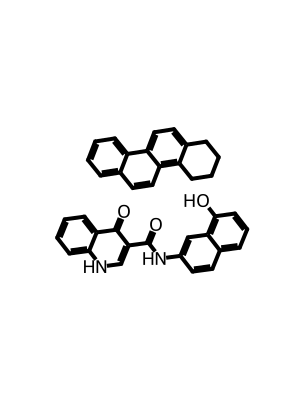 O=C(Nc1ccc2cccc(O)c2c1)c1c[nH]c2ccccc2c1=O.c1ccc2c(c1)ccc1c3c(ccc12)CCCC3